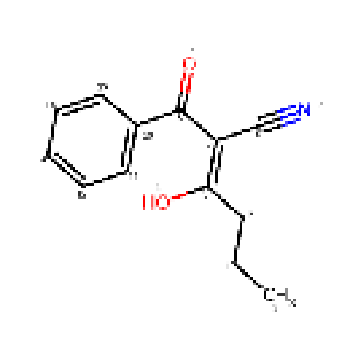 CCCC(O)=C(C#N)C(=O)c1ccccc1